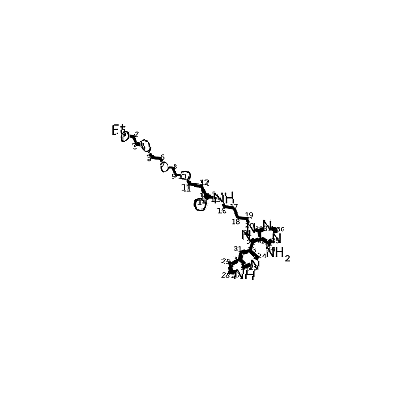 CCOCCOCCOCCOCCC(=O)NCCCCn1nc(-c2cnc3[nH]ccc3c2)c2c(N)ncnc21